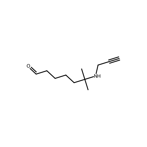 C#CCNC(C)(C)CCCCC=O